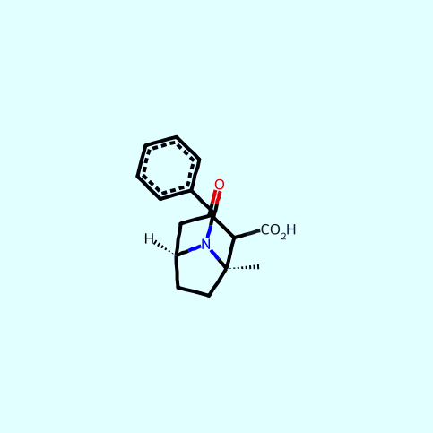 C[C@@]12CC[C@@H](CC(=O)C1C(=O)O)N2Cc1ccccc1